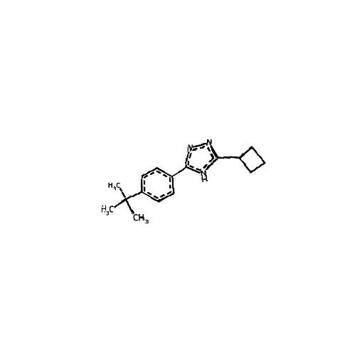 CC(C)(C)c1ccc(-c2nnc(C3CCC3)[nH]2)cc1